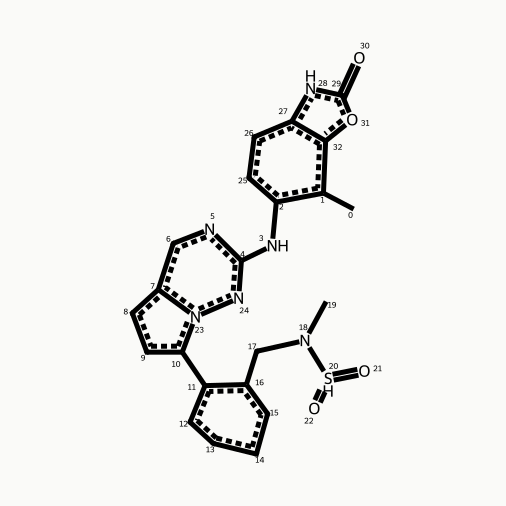 Cc1c(Nc2ncc3ccc(-c4ccccc4CN(C)[SH](=O)=O)n3n2)ccc2[nH]c(=O)oc12